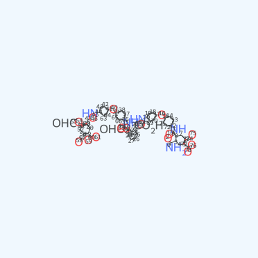 NC(=O)C1C2C=CC(C1C(=O)Nc1ccc(Oc3ccc(NOCC4C5C=CC(C4OC=O)C(C(=O)Nc4ccc(Oc6ccc(NOCC7C8C=CC(C7OC=O)C7C(=O)OC(=O)C87)cc6)cc4)C5C(=O)O)cc3)cc1)C1C(=O)OC(=O)C21